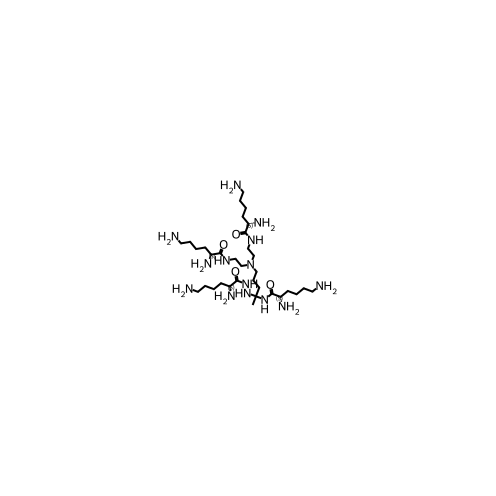 CC(CCCN(CCNC(=O)[C@@H](N)CCCCN)CCNC(=O)[C@@H](N)CCCCN)(NNC(=O)[C@@H](N)CCCCN)NC(=O)[C@@H](N)CCCCN